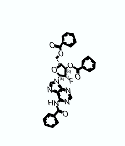 O=C(Nc1ncnc2c1ncn2[C@@H]1O[C@H](COC(=O)c2ccccc2)[C@@H](OC(=O)c2ccccc2)[C@@H]1F)c1ccccc1